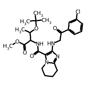 COC(=O)C(NC(=O)c1c(NCC(=O)c2cccc(Cl)c2)nc2n1CCCC2)C(C)OC(C)(C)C